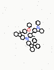 CC1C=C(N(C2CCC3=C(C2)C(C)(C2=CCC(OC4=CCCCC4)CC2)C2CCCCC32)C2CCC3=C(C2)C(C2=CC=CCC2)(c2ccccc2)C2CCCCC32)CCC1C1=CC2C3CCCCC3N(C3C=CCCC3)C2C=C1